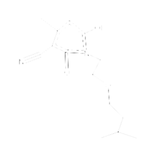 Cc1cc(O)n(CCOCCC(C)C)c(=O)c1C#N